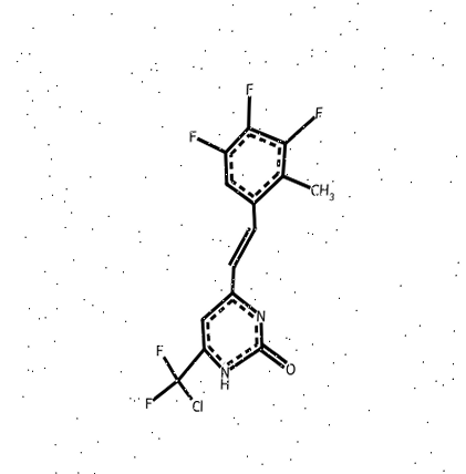 Cc1c(C=Cc2cc(C(F)(F)Cl)[nH]c(=O)n2)cc(F)c(F)c1F